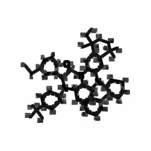 CCc1ccc2oc3c(c2c1)N(c1ccc(C(C)(C)C)cc1)c1cc(C)cc2c1B3c1cc3c(cc1N2c1ccccc1-c1ccccc1)C(C)(C)CCC3(C)CC